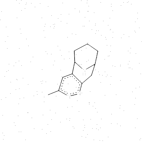 Clc1cc2c(nn1)CC1CCCC2N1